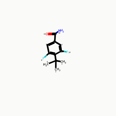 CC(C)(C)c1c(F)cc(C(N)=O)cc1F